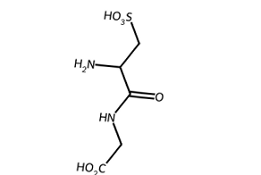 NC(CS(=O)(=O)O)C(=O)NCC(=O)O